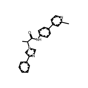 Cc1cc(-c2ccc(NC(=O)C(C)n3cnc(-c4ccccc4)c3)cc2)ccn1